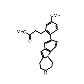 COC(=O)CCc1cc(OC)ccc1-c1ccc2c(c1)cc1n2CCNCC1